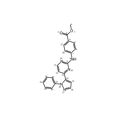 COC(=O)c1ccc(Nc2nccc(-c3ccnn3-c3ccccc3)n2)cc1